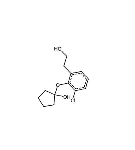 OCCc1cccc(Cl)c1OC1(O)CCCC1